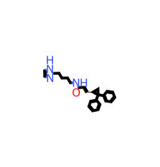 O=C(/C=C/[C@@H]1CC1(c1ccccc1)c1ccccc1)NCCCCc1ncc[nH]1